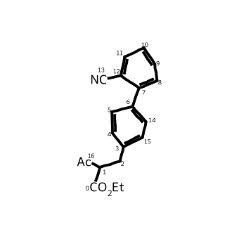 CCOC(=O)C(Cc1ccc(-c2ccccc2C#N)cc1)C(C)=O